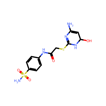 NC1=CC(O)NC(SCC(=O)Nc2ccc(S(N)(=O)=O)cc2)=N1